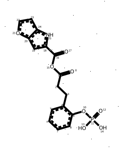 O=C(CCc1ccccc1OP(=O)(O)O)OC(=O)c1cc2occc2[nH]1